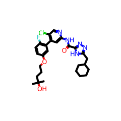 CC(C)(O)CCCOc1ccc(F)c(-c2cc(NC(=O)c3nnc(CC4CCCCC4)[nH]3)ncc2Cl)c1